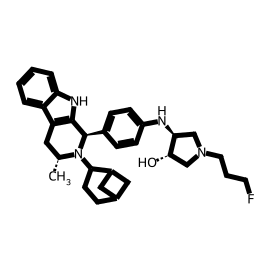 C[C@@H]1Cc2c([nH]c3ccccc23)[C@@H](c2ccc(N[C@H]3CN(CCCF)C[C@@H]3O)cc2)N1C1CCC2CC1C2